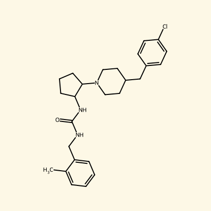 Cc1ccccc1CNC(=O)NC1CCCC1N1CCC(Cc2ccc(Cl)cc2)CC1